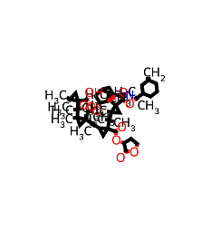 C=C1CCCC(C(C)(C)OC(=O)C2(C(C)(C)C)CC2(C)C(C)(C)C2(C(=O)OC3CCOC3=O)CC2C(C)(C)C2(C(=O)OC3CC4CC(C#N)C3C4)CC2(C)C(C)(C)C2(C(=O)O)CC2(C)C)C1